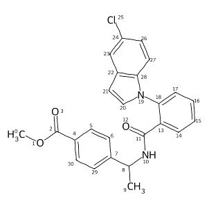 COC(=O)c1ccc(C(C)NC(=O)c2ccccc2-n2ccc3cc(Cl)ccc32)cc1